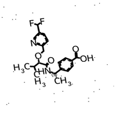 CC(C)C(OCc1ccc(C(F)F)cn1)C(=O)N[C@@H](C)c1ccc(C(=O)O)cc1